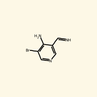 N=Cc1cncc(Br)c1N